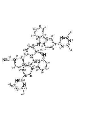 Cc1nc(C)nc(-c2ccc3c(c2)c2ccccc2n3-c2ccc(-c3cccc(C#N)c3)c(-n3c4ccccc4c4cc(-c5nc(C)nc(C)n5)ccc43)c2C#N)n1